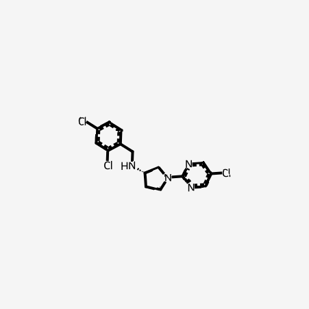 Clc1cnc(N2CC[C@H](NCc3ccc(Cl)cc3Cl)C2)nc1